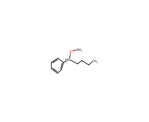 CCCC[SiH](O[SiH3])c1ccccc1